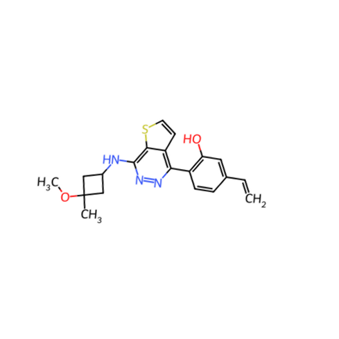 C=Cc1ccc(-c2nnc(NC3CC(C)(OC)C3)c3sccc23)c(O)c1